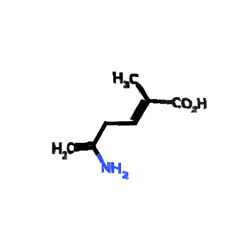 C=C(N)CC=C(C)C(=O)O